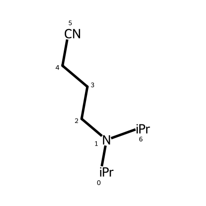 CC(C)N(CCCC#N)C(C)C